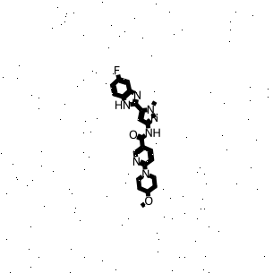 COC1CCN(c2ccc(C(=O)Nc3cc(-c4nc5cc(F)ccc5[nH]4)n(C)n3)cn2)CC1